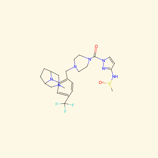 CN1CC2CCC(C1)N2c1cc(C(F)(F)F)ccc1CN1CCN(C(=O)n2ccc(N[S+](C)[O-])n2)CC1